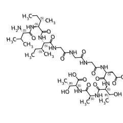 CC[C@H](C)[C@H](NC(=O)[C@@H](N)C(C)C)C(=O)N[C@H](C(=O)NCC(=O)NCC(=O)NCC(=O)N[C@@H](CC(=O)O)C(=O)N[C@H](C(=O)N[C@@H](C)C(=O)N[C@H](C(=O)O)[C@@H](C)O)[C@@H](C)O)[C@@H](C)CC